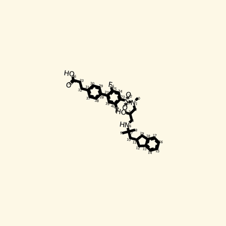 CN(CC(O)CNC(C)(C)CC1Cc2ccccc2C1)S(=O)(=O)c1cc(F)c(-c2ccc(CCC(=O)O)cc2)cc1F